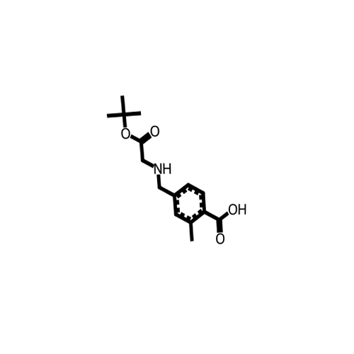 Cc1cc(CNCC(=O)OC(C)(C)C)ccc1C(=O)O